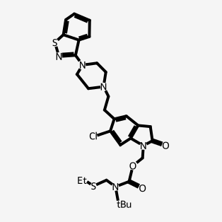 CCSCN(C(=O)OCN1C(=O)Cc2cc(CCN3CCN(c4nsc5ccccc45)CC3)c(Cl)cc21)C(C)(C)C